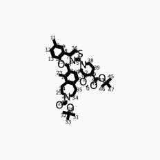 CO[C@H]1CN(c2nc(-c3cc(C)ccc3OCc3ccc4c(c3C)CCN(C(=O)OC(C)(C)C)CC4)cs2)CC[C@H]1C(=O)OC(C)(C)C